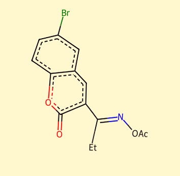 CCC(=NOC(C)=O)c1cc2cc(Br)ccc2oc1=O